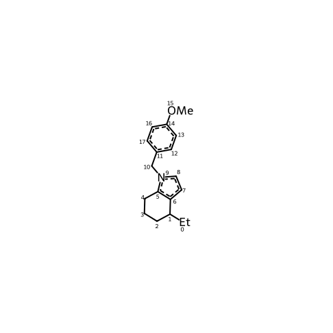 CCC1CCCc2c1ccn2Cc1ccc(OC)cc1